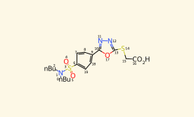 CCCCN(CCCC)S(=O)(=O)c1ccc(-c2nnc(SCC(=O)O)o2)cc1